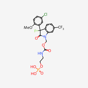 COc1ccc(Cl)cc1C1(F)C(=O)N(COC(=O)NCCOP(=O)(O)O)c2cc(C(F)(F)F)ccc21